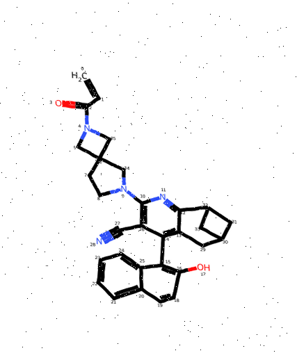 C=CC(=O)N1CC2(CCN(c3nc4c(c(-c5c(O)ccc6ccccc56)c3C#N)CC3CC4C3)C2)C1